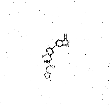 O=C(CN1CCCC1)NCc1cc(-c2ccc3[nH]nnc3c2)ccc1F